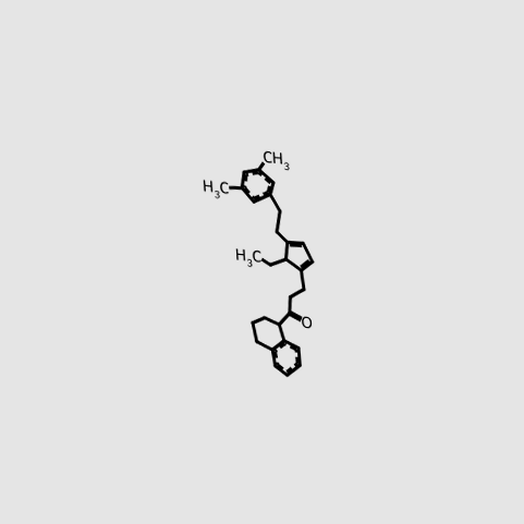 CCC1C(CCC(=O)C2CCCc3ccccc32)=CC=C1CCc1cc(C)cc(C)c1